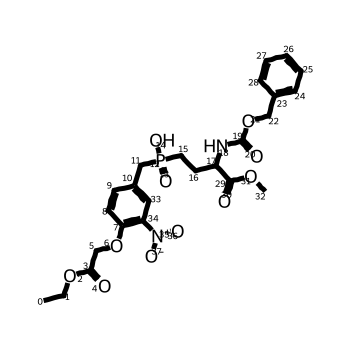 CCOC(=O)COc1ccc(CP(=O)(O)CCC(NC(=O)OCc2ccccc2)C(=O)OC)cc1[N+](=O)[O-]